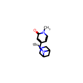 Cn1ccc(CN2C3CC2CN(C(C)(C)C)C3)cc1=O